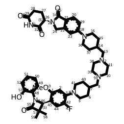 COc1cc(N2CCC(CN3CCN(CC4CCN(c5ccc6c(c5)CN([C@H]5CCC(=O)NC5=O)C6=O)CC4)CC3)CC2)c(F)cc1[C@@H]1N(c2ccccc2O)C(=O)C1(C)C